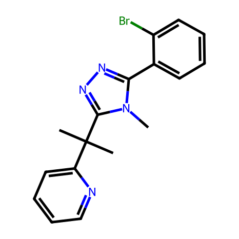 Cn1c(-c2ccccc2Br)nnc1C(C)(C)c1ccccn1